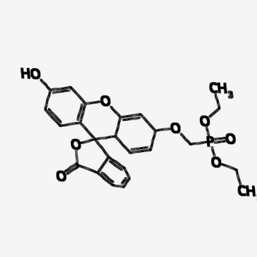 CCOP(=O)(COC1C=CC2C(=C1)Oc1cc(O)ccc1C21OC(=O)c2ccccc21)OCC